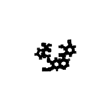 COc1cc2ncnc(Nc3cccc(Cl)c3F)c2cc1OC[C@H]1CCCN1S(C)(=O)=O